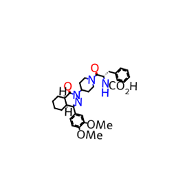 COc1ccc(C2=NN(C3CCN(C(=O)[C@H](Cc4ccccc4)NC(=O)O)CC3)C(=O)[C@@H]3CCCC[C@H]23)cc1OC